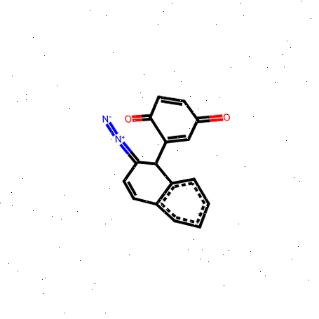 [N-]=[N+]=C1C=Cc2ccccc2C1C1=CC(=O)C=CC1=O